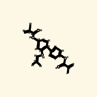 C=C(C)C(=O)Oc1ccc(-c2ccc(OC(=O)C(=C)C)cc2OC=C(C)C)cc1